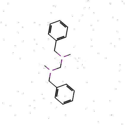 Br.Br.CC(C)(C)P(Cc1ccccc1)CP(Cc1ccccc1)C(C)(C)C